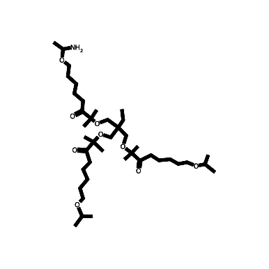 CCC(COC(C)(C)C(=O)CCCCCOC(C)C)(COC(C)(C)C(=O)CCCCCOC(C)C)COC(C)(C)C(=O)CCCCCOC(C)N